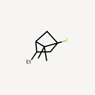 CCC1CC2(F)CC1C2(C)C